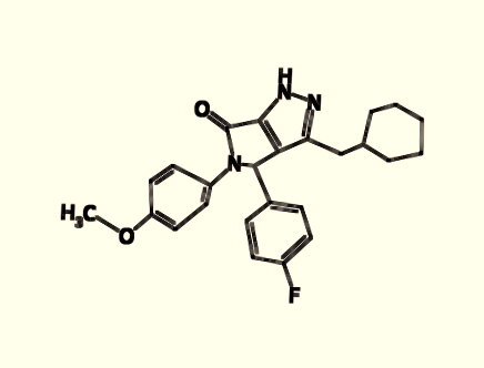 COc1ccc(N2C(=O)c3[nH]nc(CC4CCCCC4)c3C2c2ccc(F)cc2)cc1